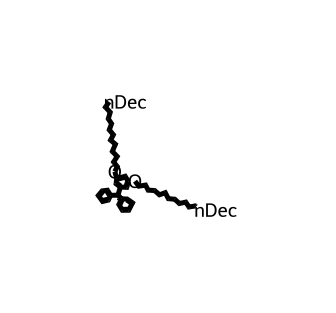 CCCCCCCCCCCCCCCCCCCCCCOc1cc(OCCCCCCCCCCCCCCCCCCCCCC)cc([C](c2ccccc2)c2ccccc2)c1